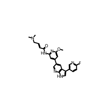 COc1cc(-c2cnc3[nH]cc(-c4ccc(F)nc4)c3c2)cc(NC(=O)/C=C/CN(C)C)n1